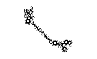 O=C1CCC(N2C(=O)c3cccc(OCCOCCOCCOCCOCCOc4ccc(-n5cc(-c6ccc7c(c6)CCC7)c(-c6ccncc6)n5)cc4)c3C2=O)C(=O)N1